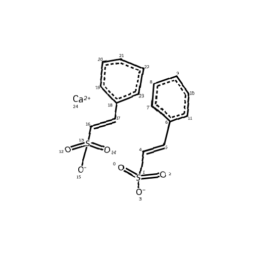 O=S(=O)([O-])C=Cc1ccccc1.O=S(=O)([O-])C=Cc1ccccc1.[Ca+2]